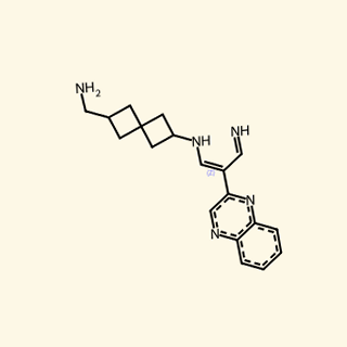 N=C/C(=C\NC1CC2(CC(CN)C2)C1)c1cnc2ccccc2n1